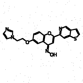 ON=c1cc(-c2cc3sccc3cn2)oc2ccc(OCCn3ccnc3)cc12